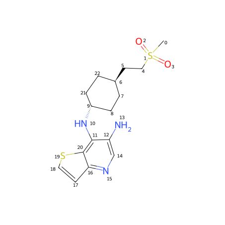 CS(=O)(=O)CC[C@H]1CC[C@H](Nc2c(N)cnc3ccsc23)CC1